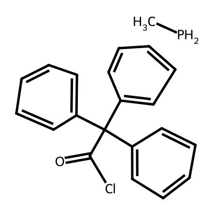 CP.O=C(Cl)C(c1ccccc1)(c1ccccc1)c1ccccc1